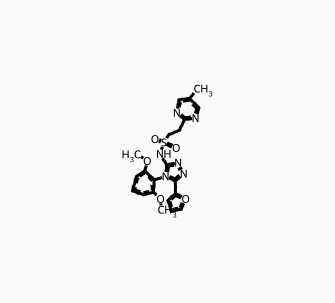 COc1cccc(OC)c1-n1c(NS(=O)(=O)CCc2ncc(C)cn2)nnc1-c1ccco1